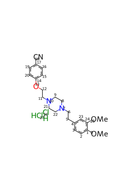 COc1ccc(CCN2CCN(CCOc3ccc(C#N)cc3)CC2)cc1OC.Cl.Cl